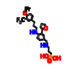 CC(C)Oc1ccc(CCCNc2ccc(CNCCCP(=O)(O)O)cc2-c2ccco2)cc1C(F)(F)F